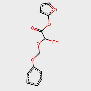 O=C(Oc1ccco1)C(O)OCOc1ccccc1